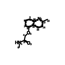 CNC(=O)COc1cccc2nc(C)ccc12